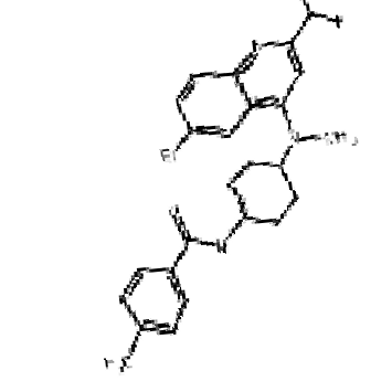 CCc1ccc2nc(C(F)P)cc(N(C)C3CCC(NC(=O)c4ccc(C)cc4)CC3)c2c1